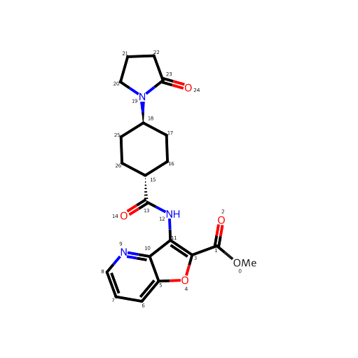 COC(=O)c1oc2cccnc2c1NC(=O)[C@H]1CC[C@H](N2CCCC2=O)CC1